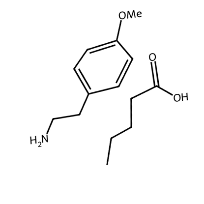 CCCCC(=O)O.COc1ccc(CCN)cc1